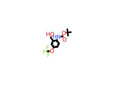 CC(C)(C)OC(=O)Nc1ccc(OC(F)(F)F)cc1CO